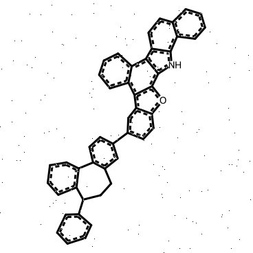 c1ccc(C2CCc3cc(-c4ccc5oc6c7[nH]c8c9ccccc9ccc8c7c7ccccc7c6c5c4)ccc3-c3ccccc32)cc1